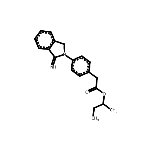 CCC(C)OC(=O)Cc1ccc(N2Cc3ccccc3C2=N)cc1